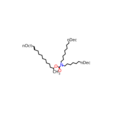 CCCCCCCCC=CCCCCCCCCC(C)OC(=O)N(CCCCCCCCCCCCCCCC)CCCCCCCCCCCCCCCCCC